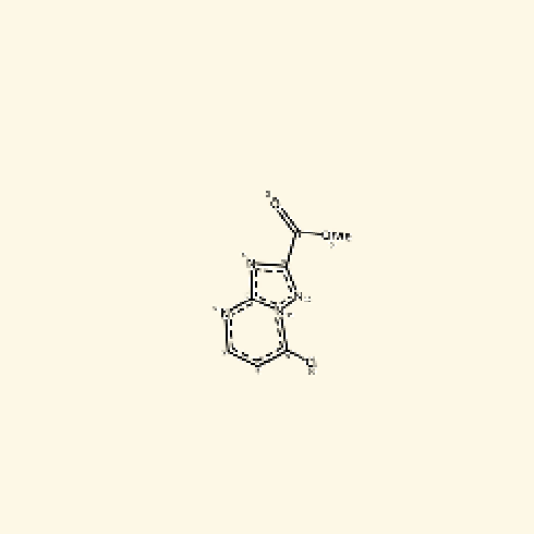 COC(=O)c1nc2nccc(Cl)n2n1